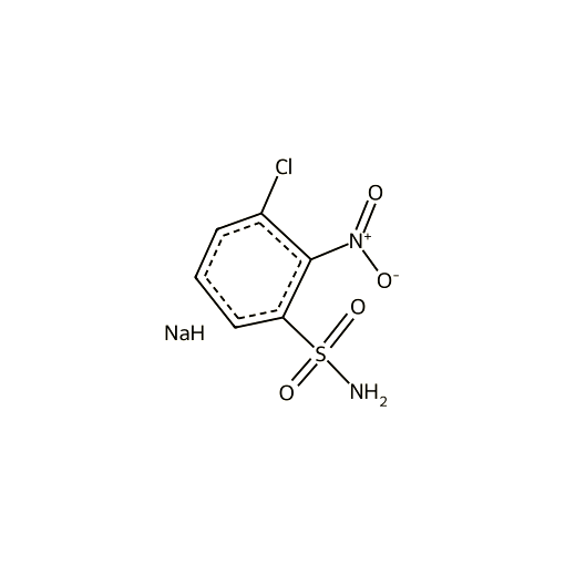 NS(=O)(=O)c1cccc(Cl)c1[N+](=O)[O-].[NaH]